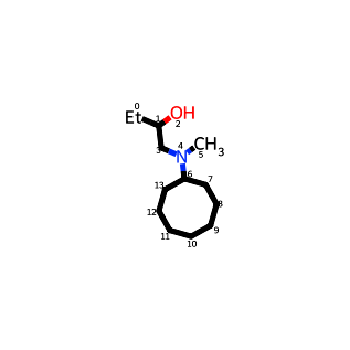 CCC(O)CN(C)C1CCCCCCC1